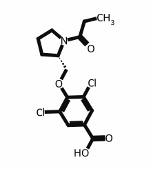 CCC(=O)N1CCC[C@H]1COc1c(Cl)cc(C(=O)O)cc1Cl